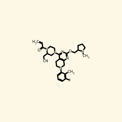 C=CC(=O)N1CCN(c2nc(OCC3CCCN3C)nc3c2CCN(c2cccc(F)c2C)C3)CC1CC#N